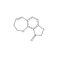 O=C1CSc2ccc3c(c21)OCCC=C3